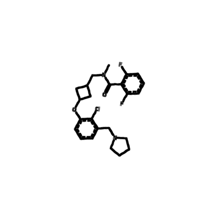 CN(CC1CC(Oc2cccc(CN3CCCC3)c2Cl)C1)C(=O)c1c(F)cccc1F